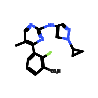 Cc1cnc(Nc2cnn(C3CC3)c2)nc1-c1cccc(C(=O)O)c1F